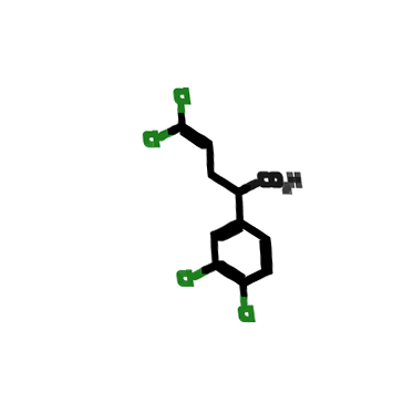 O=C(O)C(CC=C(Cl)Cl)c1ccc(Cl)c(Cl)c1